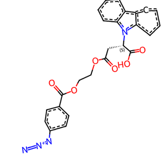 [N-]=[N+]=Nc1ccc(C(=O)OCCOC(=O)C[C@@H](C(=O)O)n2c3ccccc3c3ccccc32)cc1